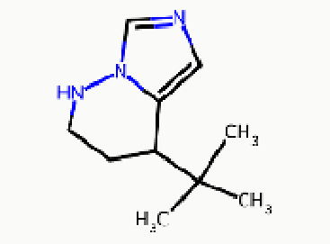 CC(C)(C)C1CCNn2cncc21